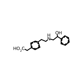 O=C(O)Cc1ccc(CCNCC(O)c2ccccc2)cc1